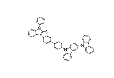 c1ccc(-n2c3ccccc3c3c4ccc(-c5ccc(-n6c7ccccc7c7cc(-n8c9ccccc9c9ccccc98)ccc76)cc5)cc4sc32)cc1